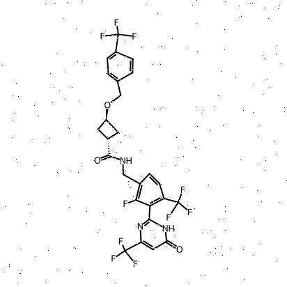 O=c1cc(C(F)(F)F)nc(-c2c(C(F)(F)F)ccc(CNC(=O)[C@H]3C[C@H](OCc4ccc(C(F)(F)F)cc4)C3)c2F)[nH]1